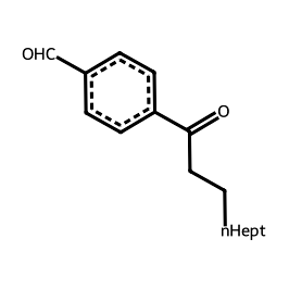 CCCCCCCCCC(=O)c1ccc(C=O)cc1